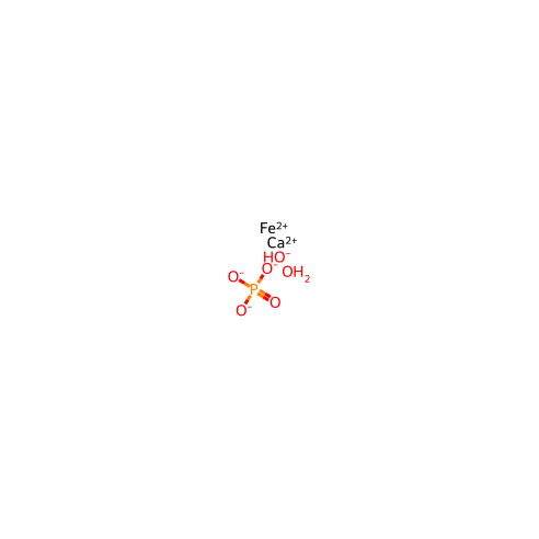 O.O=P([O-])([O-])[O-].[Ca+2].[Fe+2].[OH-]